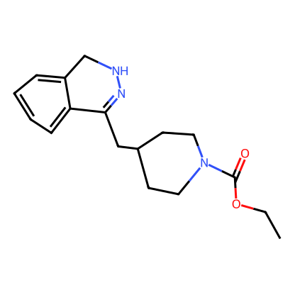 CCOC(=O)N1CCC(CC2=NNCc3ccccc32)CC1